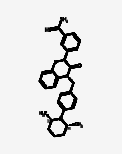 C[C@@H]1CCC[C@H](C)N1c1ccc(CN2C(=O)C(c3cccc(C(=N)N)c3)Sc3ccccc32)cc1